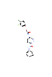 O=C(COc1ccc(Cl)c(F)c1)N[C@@]1(S)CC[C@H](C(=O)Nc2ccccc2)NC1